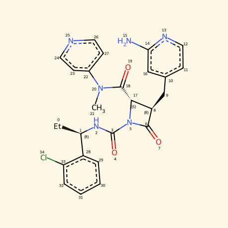 CC[C@@H](NC(=O)N1C(=O)[C@H](Cc2ccnc(N)c2)[C@H]1C(=O)N(C)c1ccncc1)c1ccccc1Cl